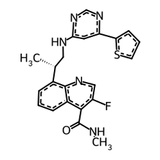 CNC(=O)c1c(F)cnc2c([C@H](C)CNc3cc(-c4cccs4)ncn3)cccc12